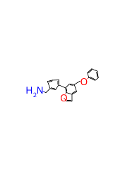 NCc1cccc(-c2cc(COc3ccccc3)cc3ccoc23)c1